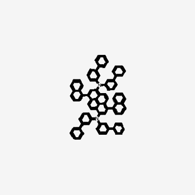 c1ccc(-c2cccc(N(c3cccc(-c4ccccc4)c3)c3cc(-c4cccc5ccccc45)c4ccc5c(N(c6cccc(-c7ccccc7)c6)c6cccc(-c7ccccc7)c6)cc(-c6cccc7ccccc67)c6ccc3c4c65)c2)cc1